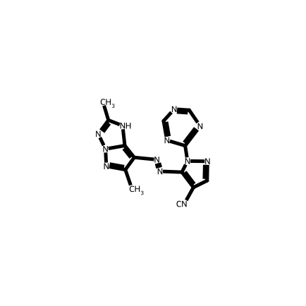 [C-]#[N+]c1cnn(-c2ncncn2)c1/N=N/c1c(C)nn2nc(C)[nH]c12